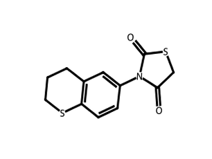 O=C1CSC(=O)N1c1ccc2c(c1)CCCS2